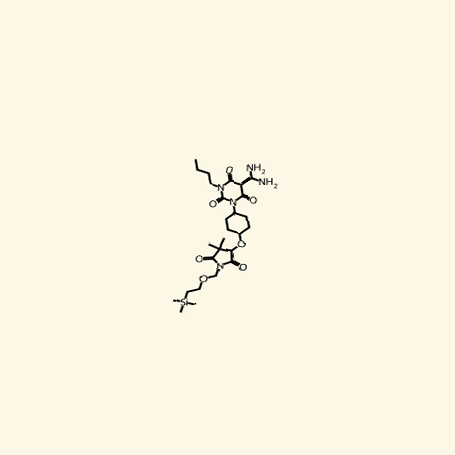 CCCCN1C(=O)C(=C(N)N)C(=O)N(C2CCC(OC3C(=O)N(COCC[Si](C)(C)C)C(=O)C3(C)C)CC2)C1=O